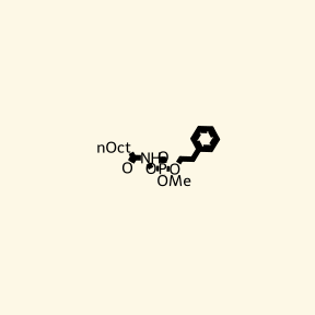 CCCCCCCCC(=O)NOP(=O)(OC)OCCc1ccccc1